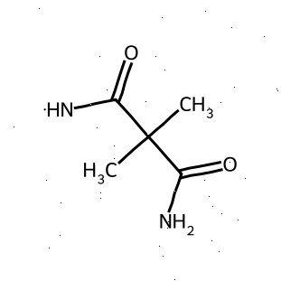 CC(C)(C([NH])=O)C(N)=O